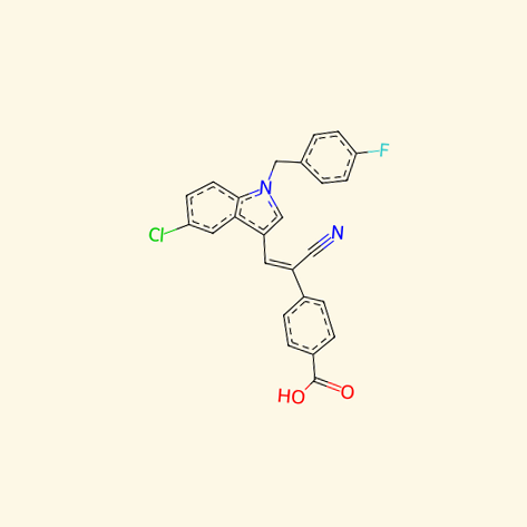 N#CC(=Cc1cn(Cc2ccc(F)cc2)c2ccc(Cl)cc12)c1ccc(C(=O)O)cc1